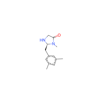 Cc1cc(C)cc(C[C@H]2NCC(=O)N2C)c1